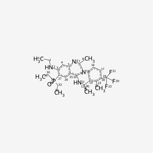 CCNc1cc2nc(C)nc(N[C@H](C)c3cccc(C(F)(F)F)c3C)c2cc1P(=O)(CC)CC